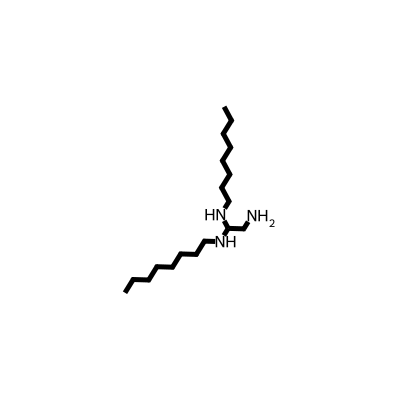 CCCCCCCCNC(CN)NCCCCCCCC